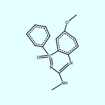 CNC1=Nc2ccc(OC)cc2S(=O)(c2ccccc2)=N1